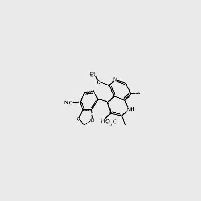 CCOc1ncc(C)c2c1C(c1ccc(C#N)c3c1OCO3)C(C(=O)O)=C(C)N2